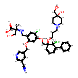 CC(CO)(NCc1cc(Cl)c(OCC2(OCCCN3CCC(O)(CO)CC3)C=CC=C(c3ccccc3)C2(C)Cl)cc1OCc1cncc(C#N)c1)C(=O)O